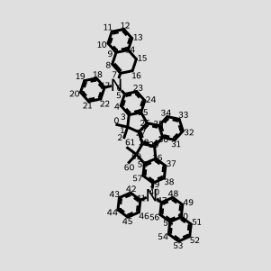 CC1(C)c2cc(N(C3=Cc4ccccc4CC3)c3ccccc3)ccc2-c2c1c1c(c3ccccc23)-c2ccc(N(c3ccccc3)c3ccc4ccccc4c3)cc2C1(C)C